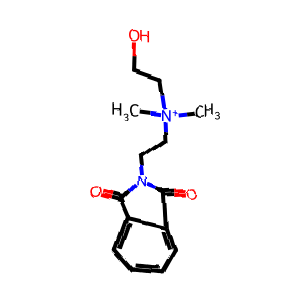 C[N+](C)(CCO)CCN1C(=O)c2ccccc2C1=O